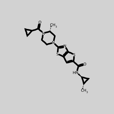 C[C@@H]1CN(c2nc3sc(C(=O)N[C@H]4C[C@@H]4C)cc3s2)CCN1C(=O)C1CC1